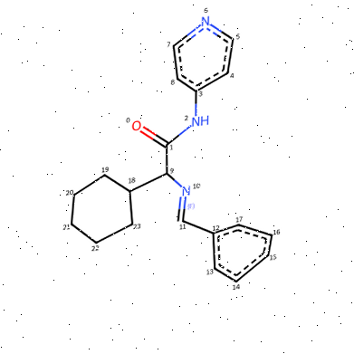 O=C(Nc1ccncc1)C(/N=C/c1ccccc1)C1CCCCC1